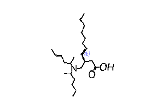 CCCCCC/C=C/C(CC(=O)O)CN(C(C)CCCC)C(C)CCCC